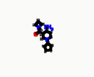 N[C@@H]1CCN(C2CCCC2)C[C@H]1C(=O)N1CCC1